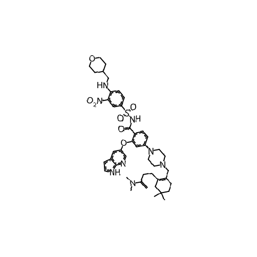 C=C(CCC1=C(CN2CCN(c3ccc(C(=O)NS(=O)(=O)c4ccc(NCC5CCOCC5)c([N+](=O)[O-])c4)c(Oc4cnc5[nH]ccc5c4)c3)CC2)CCC(C)(C)C1)N(C)C